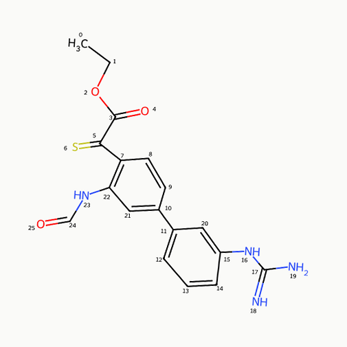 CCOC(=O)C(=S)c1ccc(-c2cccc(NC(=N)N)c2)cc1NC=O